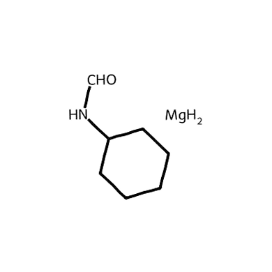 O=CNC1CCCCC1.[MgH2]